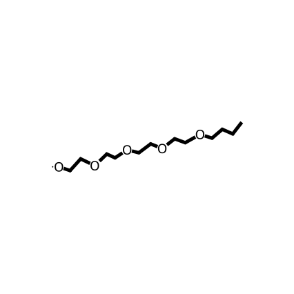 CCCCOCCOCCOCCOCC[O]